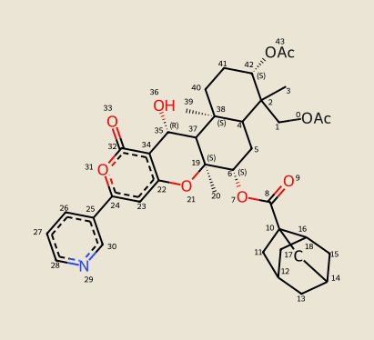 CC(=O)OCC1(C)C2C[C@H](OC(=O)C34CC5CC(CC3C5)C4)[C@@]3(C)Oc4cc(-c5cccnc5)oc(=O)c4[C@H](O)C3[C@@]2(C)CC[C@@H]1OC(C)=O